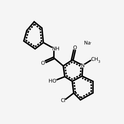 Cn1c(=O)c(C(=O)Nc2ccccc2)c(O)c2c(Cl)cccc21.[Na]